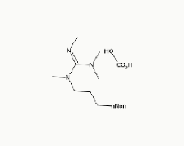 CCCCCCCCCCCCN(C)C(=NC)N(C)C.O=C(O)O